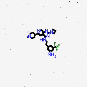 CN1CCC(c2cc3c(NCCc4cc(N)cc(C(F)(F)F)c4)nc(N4CCC4)nc3cn2)CC1